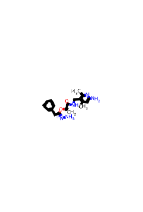 C=C(O/C(Cc1ccccc1)=N\N)C(=O)NCc1c(C)cc(N)nc1C